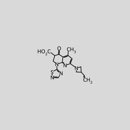 C=CC1CN(c2cc(C)c3c(n2)N(c2ncns2)CC(C(=O)O)C3=O)C1